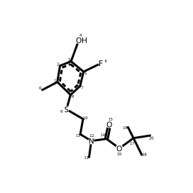 Cc1cc(O)c(F)cc1SCCN(C)C(=O)OC(C)(C)C